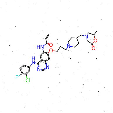 C=CC(=O)Nc1cc2c(Nc3ccc(F)c(Cl)c3)ncnc2cc1OCCCN1CCC(CN2CC(=O)OC(C)C2)CC1